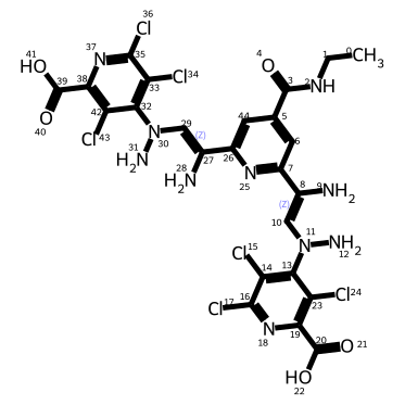 CCNC(=O)c1cc(/C(N)=C/N(N)c2c(Cl)c(Cl)nc(C(=O)O)c2Cl)nc(/C(N)=C/N(N)c2c(Cl)c(Cl)nc(C(=O)O)c2Cl)c1